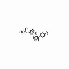 CC(C)(C)c1ccc(-n2nnnc2Sc2nc(CC(=O)O)cs2)cc1